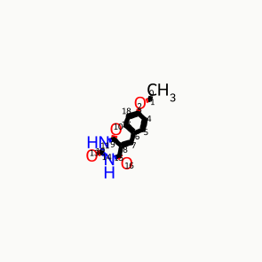 CCOc1ccc(C=C2C(=O)NC(=O)NC2=O)cc1